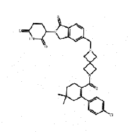 CC1(C)CCC(C(=O)N2CC3(CN(Cc4ccc5c(c4)CN(C4CCC(=O)NC4=O)C5=O)C3)C2)=C(c2ccc(Cl)cc2)C1